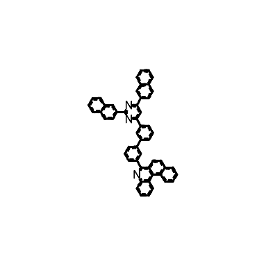 c1cc(-c2cccc(-c3nc4ccccc4c4c3ccc3ccccc34)c2)cc(-c2cc(-c3ccc4ccccc4c3)nc(-c3ccc4ccccc4c3)n2)c1